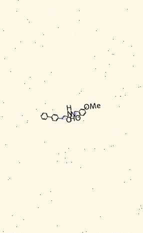 COc1ccc(O)c(/C=N/NC(=O)/C=C/c2ccc(-c3ccccc3)cc2)c1